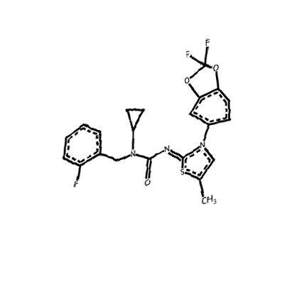 Cc1cn(-c2ccc3c(c2)OC(F)(F)O3)/c(=N/C(=O)N(Cc2ccccc2F)C2CC2)s1